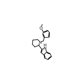 COc1cccc(CN2CCCCC2c2cc3ccccc3[nH]2)c1